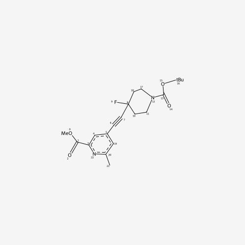 COC(=O)c1cc(C#CC2(F)CCN(C(=O)OC(C)(C)C)CC2)cc(C)n1